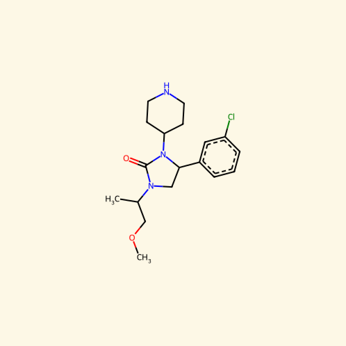 COCC(C)N1CC(c2cccc(Cl)c2)N(C2CCNCC2)C1=O